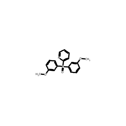 COc1cccc(P(=O)(c2cccc(OC)c2)c2ccccn2)c1